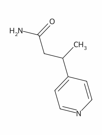 CC(CC(N)=O)c1ccncc1